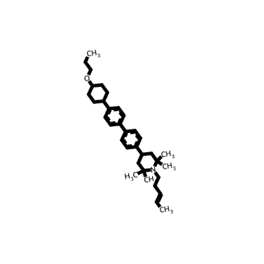 C/C=C/CCN1C(C)(C)CC(c2ccc(-c3ccc(C4CCC(OCCC)CC4)cc3)cc2)CC1(C)C